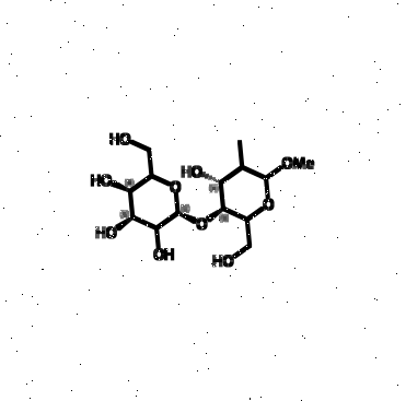 COC1OC(CO)[C@@H](O[C@@H]2OC(CO)[C@H](O)[C@H](O)C2O)[C@H](O)C1C